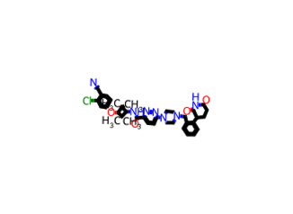 CC1(C)C(NC(=O)c2ccc(N3CCN(Cc4ccccc4C4CCC(=O)NC4=O)CC3)nn2)C(C)(C)C1Oc1ccc(C#N)c(Cl)c1